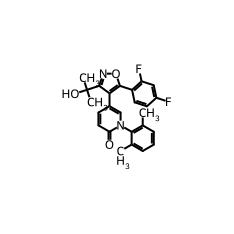 Cc1cccc(C)c1-n1cc(-c2c(C(C)(C)O)noc2-c2ccc(F)cc2F)ccc1=O